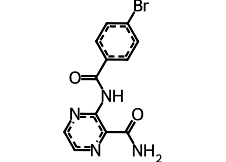 NC(=O)c1nccnc1NC(=O)c1ccc(Br)cc1